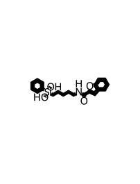 O=C(NCCCCC[Si](O)(O)c1ccccc1)c1cc2ccccc2o1